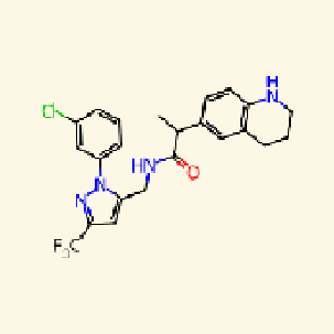 CC(C(=O)NCc1cc(C(F)(F)F)nn1-c1cccc(Cl)c1)c1ccc2c(c1)CCCN2